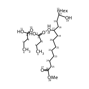 CCCC(=O)O.CCCC(=O)O.CCCCCCC(O)CCC(O)CCCCCCCC(=O)OC